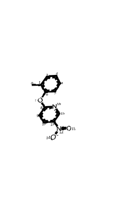 Cc1ccccc1Oc1ccc([N+](=O)[O-])cn1